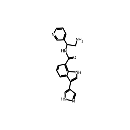 NCC(NC(=O)c1cccc2c(-c3cn[nH]c3)c[nH]c12)c1cccnc1